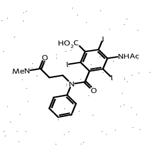 CNC(=O)CCN(C(=O)c1c(I)c(NC(C)=O)c(I)c(C(=O)O)c1I)c1ccccc1